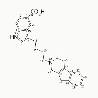 O=C(O)c1ccc2[nH]cc(CCCCN3CCC4=C(Cc5ccccc54)C3)c2c1